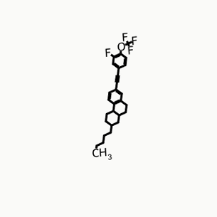 CCCCCC1CCC2c3ccc(C#Cc4ccc(OC(F)(F)F)c(F)c4)cc3CCC2C1